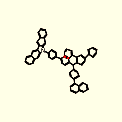 c1ccc(-c2ccc(C(c3ccc(-c4ccc(-n5c6cc7ccccc7cc6c6cc7ccccc7cc65)cc4)cc3)c3ccc(-c4cccc5ccccc45)cc3)c(-c3ccccc3)c2)cc1